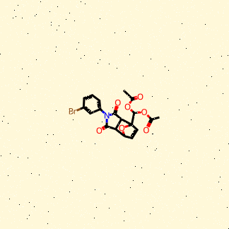 CC(=O)OC(OC(C)=O)C12C=CC(O1)C1C(=O)N(c3cccc(Br)c3)C(=O)C12